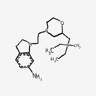 CC[N+](C)(CC)CC1CN(CCN2CCc3ccc(N)cc32)CCO1